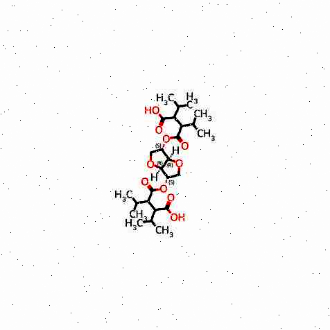 CC(C)C(C(=O)O)C(C(=O)O[C@H]1CO[C@H]2[C@@H]1OC[C@@H]2OC(=O)C(C(C)C)C(C(=O)O)C(C)C)C(C)C